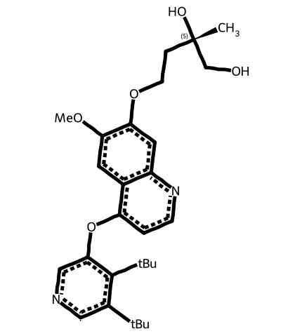 COc1cc2c(Oc3cn[c]c(C(C)(C)C)c3C(C)(C)C)ccnc2cc1OCC[C@](C)(O)CO